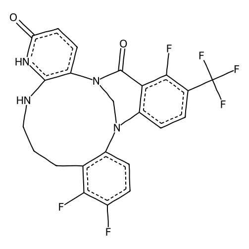 O=C1c2c(ccc(C(F)(F)F)c2F)N2CN1c1ccc(=O)[nH]c1NCCCc1c2ccc(F)c1F